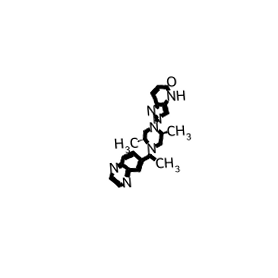 CC(c1ccc2nccnc2c1)N1C[C@H](C)N(n2cc3[nH]c(=O)ccc3n2)C[C@H]1C